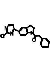 O=C(Cc1ccccc1)N1CCc2cc(-c3ccnc(Cl)n3)ccc21